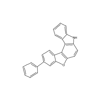 c1ccc(-c2ccc3c(c2)oc2ccc4[nH]c5ccccc5c4c23)cc1